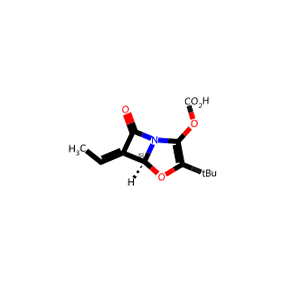 CC=C1C(=O)N2C(OC(=O)O)=C(C(C)(C)C)O[C@@H]12